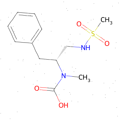 CN(C(=O)O)[C@@H](CNS(C)(=O)=O)Cc1ccccc1